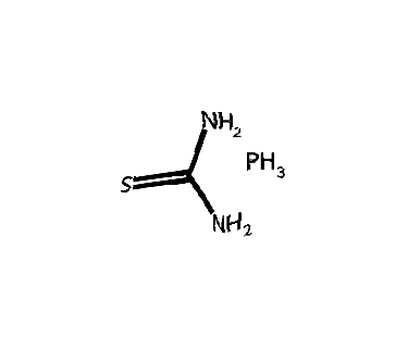 NC(N)=S.P